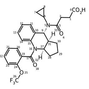 O=C(O)CCC(=O)N(C1CC1)[C@H]1c2ccccc2N(C(=O)c2ccccc2OC(F)(F)F)[C@@H]2CCC[C@@H]21